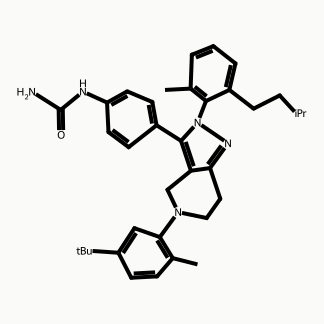 Cc1ccc(C(C)(C)C)cc1N1CCc2nn(-c3c(C)cccc3CCC(C)C)c(-c3ccc(NC(N)=O)cc3)c2C1